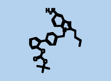 CCCCc1nc2cc(N)ccc2n1Cc1ccc(-c2ccccc2OC(=O)OC(C)(C)C)cc1